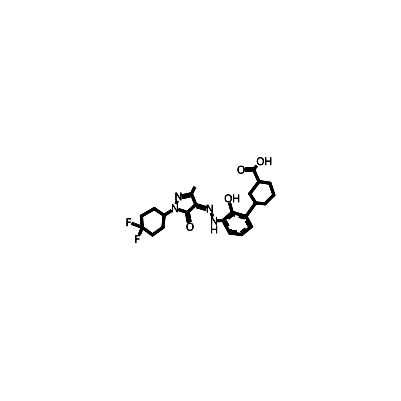 CC1=NN(C2CCC(F)(F)CC2)C(=O)C1=NNc1cccc(C2CCCC(C(=O)O)C2)c1O